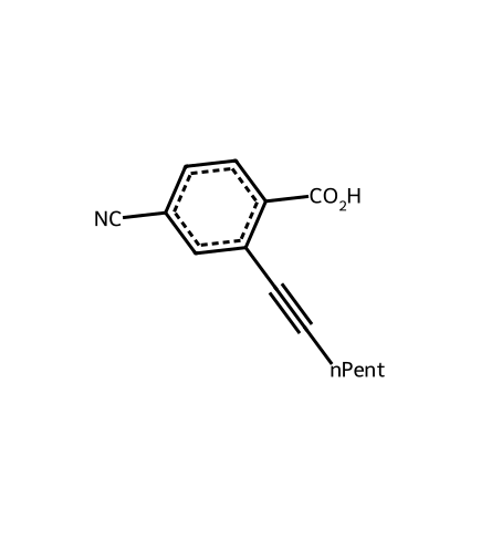 CCCCCC#Cc1cc(C#N)ccc1C(=O)O